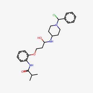 CC(C)C(=O)Nc1ccccc1OCCC(O)NC1CCN(C(Cl)c2ccccc2)CC1